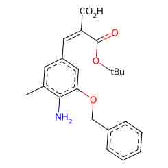 Cc1cc(C=C(C(=O)O)C(=O)OC(C)(C)C)cc(OCc2ccccc2)c1N